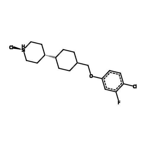 Fc1cc(OCC2CCC([C@H]3CC[Si@H](Cl)CC3)CC2)ccc1Cl